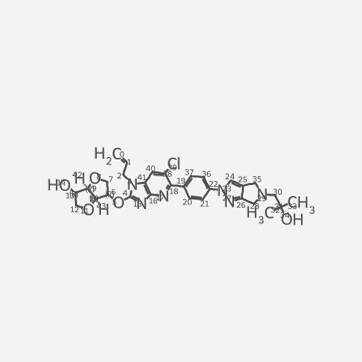 C=CCn1c(O[C@@H]2CO[C@H]3[C@@H]2OC[C@H]3O)nc2nc(-c3ccc(-n4cc5c(n4)CN(CC(C)(C)O)C5)cc3)c(Cl)cc21